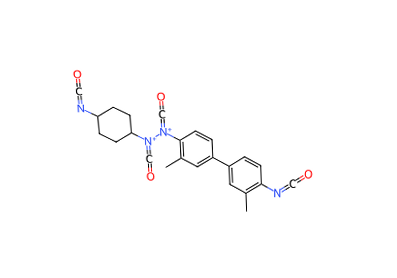 Cc1cc(-c2ccc([N+](=C=O)[N+](=C=O)C3CCC(N=C=O)CC3)c(C)c2)ccc1N=C=O